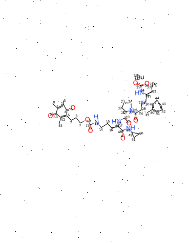 CC1=C(C)C(=O)C(CCCOC(=O)NCCC[C@@H](NC(=O)[C@@H]2CCCN2C(=O)[C@H](/C=C/[C@H](CC(C)C)NC(=O)OC(C)(C)C)Cc2ccccc2)C(=O)NC2CC2)=C(C)C1=O